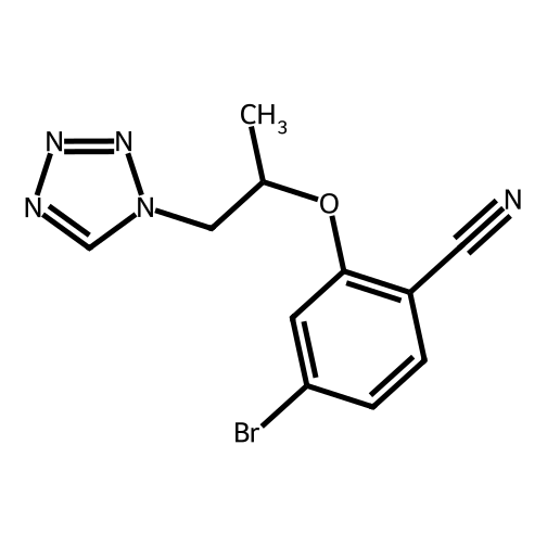 CC(Cn1cnnn1)Oc1cc(Br)ccc1C#N